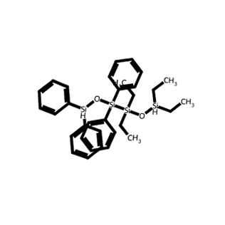 CC[SiH](CC)O[Si](CC)(CC)[Si](O[SiH](c1ccccc1)c1ccccc1)(c1ccccc1)c1ccccc1